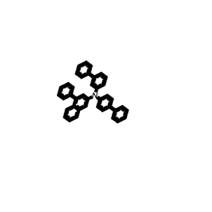 c1ccc(-c2ccc(N(c3cccc(-c4ccccc4)c3)c3cc(-c4ccccc4)c4ccccc4c3)cc2)cc1